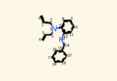 C=CCN(CC=C)c1ccccc1N=Cc1ccccc1